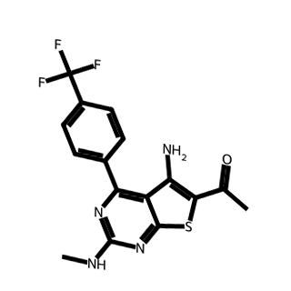 CNc1nc(-c2ccc(C(F)(F)F)cc2)c2c(N)c(C(C)=O)sc2n1